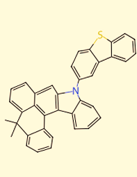 CC1(C)c2ccccc2-c2c3c1cccc3cc1c2c2ccccc2n1-c1ccc2sc3ccccc3c2c1